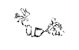 CC1(C)OB(c2ccc(CN3CCN(CCO[Si](C)(C)C(C)(C)C)CC3)cc2)OC1(C)C